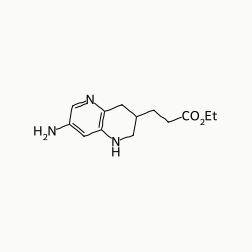 CCOC(=O)CCC1CNc2cc(N)cnc2C1